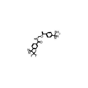 BC1(c2ccc(C(=C)OCN(C)C(=O)c3ccc(C4(C(F)(F)F)N=N4)cc3)cc2)N=N1